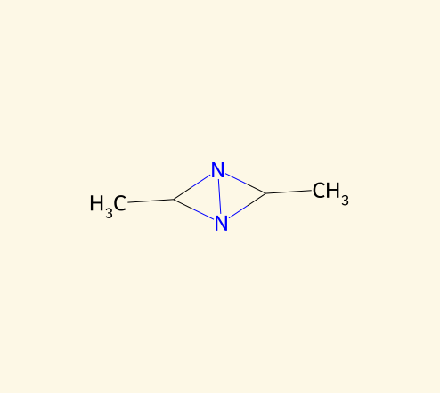 CC1N2C(C)N12